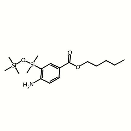 CCCCCOC(=O)c1ccc(N)c([Si](C)(C)O[Si](C)(C)C)c1